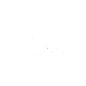 CNC(=O)c1c(-c2ccc(F)cc2)oc2cc(NS(=O)(=O)Cc3ccc(C4COB(O)C4)c(Cl)c3)c(C3CC3)cc12